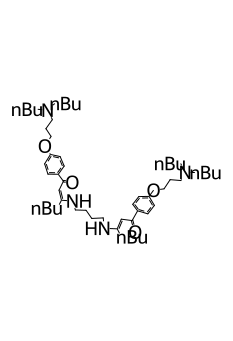 CCCCC(=CC(=O)c1ccc(OCCCN(CCCC)CCCC)cc1)NCCCCNC(=CC(=O)c1ccc(OCCCN(CCCC)CCCC)cc1)CCCC